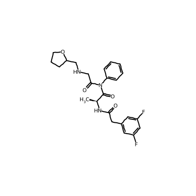 C[C@H](NC(=O)Cc1cc(F)cc(F)c1)C(=O)N(C(=O)CNCC1CCCO1)c1ccccc1